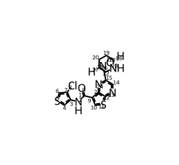 O=C(Nc1cscc1Cl)c1csc2ncc(N3C[C@H]4CC[C@@H]3CN4)nc12